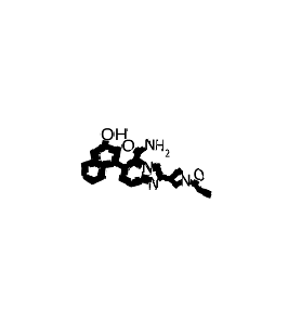 C=CC(=O)N1CC(c2cn3c(C(N)=O)c(-c4cc(O)cc5ccccc45)ccc3n2)C1